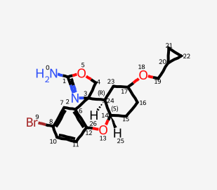 NC1=NC2(CO1)c1cc(Br)ccc1O[C@H]1CCC(OCC3CC3)C[C@@H]12